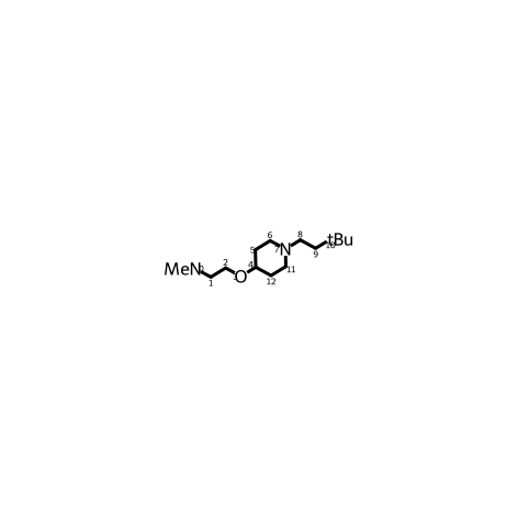 CNCCOC1CCN(CCC(C)(C)C)CC1